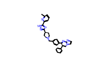 Cc1cccc(-c2nc(C3CCN(Cc4ccc(-c5nc6nccn6cc5-c5ccccc5)cc4)CC3)n[nH]2)n1